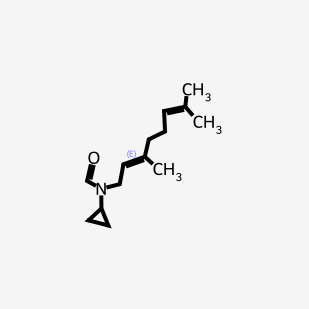 CC(C)=CCC/C(C)=C/CN(C=O)C1CC1